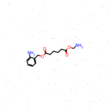 NCOC(=O)CCCCC(=O)OCc1ccccc1N